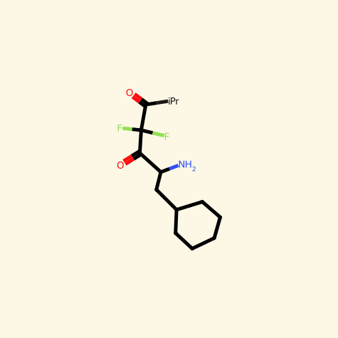 CC(C)C(=O)C(F)(F)C(=O)C(N)CC1CCCCC1